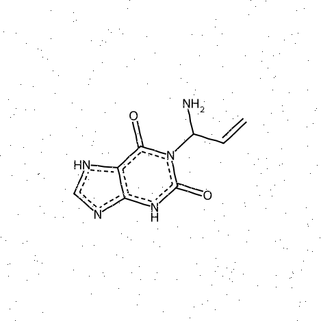 C=CC(N)n1c(=O)[nH]c2nc[nH]c2c1=O